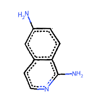 Nc1[c]cc2c(N)nccc2c1